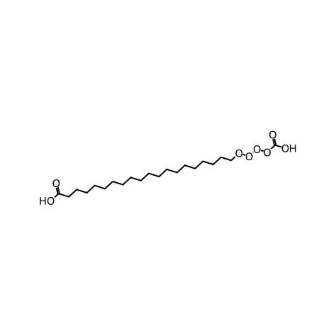 O=C(O)CCCCCCCCCCCCCCCCCCCOOOOC(=O)O